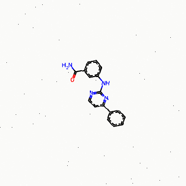 NC(=O)c1cccc(Nc2nccc(-c3ccccc3)n2)c1